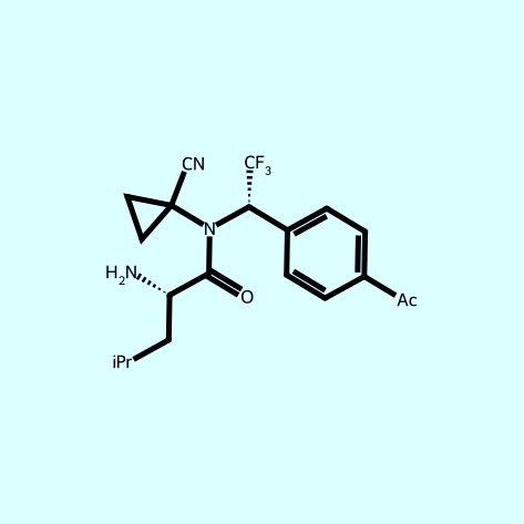 CC(=O)c1ccc([C@H](N(C(=O)[C@@H](N)CC(C)C)C2(C#N)CC2)C(F)(F)F)cc1